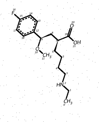 CCNCCCC[C@@H](C[C@@H](OC)c1ccc(F)cc1)C(=O)O